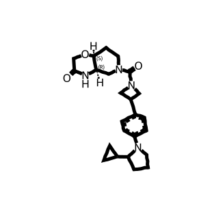 O=C1CO[C@H]2CCN(C(=O)N3CC(c4ccc(N5CCCC5C5CC5)cc4)C3)C[C@H]2N1